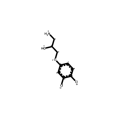 NCC(O)COc1ccc(Cl)c(Cl)c1